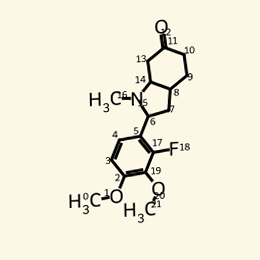 COc1ccc(C2CC3CCC(=O)CC3N2C)c(F)c1OC